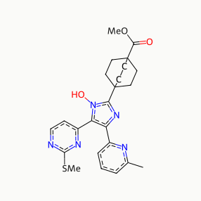 COC(=O)C12CCC(c3nc(-c4cccc(C)n4)c(-c4ccnc(SC)n4)n3O)(CC1)CC2